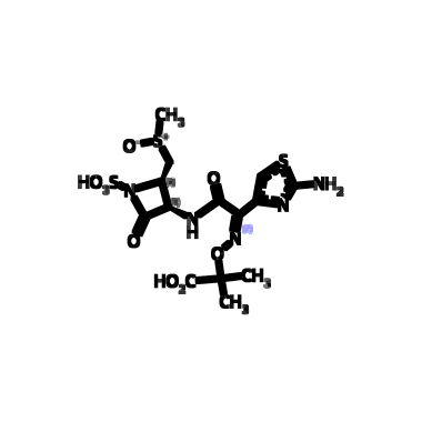 C[S+]([O-])C[C@H]1[C@@H](NC(=O)/C(=N\OC(C)(C)C(=O)O)c2csc(N)n2)C(=O)N1S(=O)(=O)O